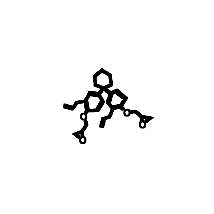 C=CCc1cc(C2(c3ccc(OCC4CO4)c(CC=C)c3)CCCCC2)ccc1OCC1CO1